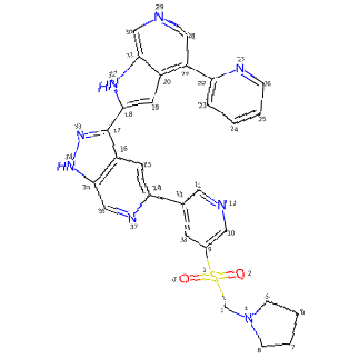 O=S(=O)(CN1CCCC1)c1cncc(-c2cc3c(-c4cc5c(-c6ccccn6)cncc5[nH]4)n[nH]c3cn2)c1